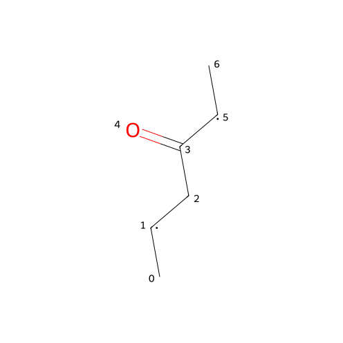 C[CH]CC(=O)[CH]C